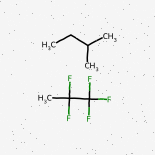 CC(F)(F)C(F)(F)F.CCC(C)C